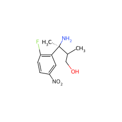 CC(CO)[C@](C)(N)c1cc([N+](=O)[O-])ccc1F